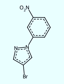 O=[N+]([O-])c1cccc(-n2cc(Br)cn2)c1